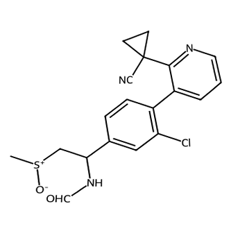 C[S+]([O-])CC(NC=O)c1ccc(-c2cccnc2C2(C#N)CC2)c(Cl)c1